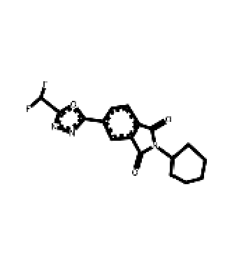 O=C1c2ccc(-c3nnc(C(F)F)o3)cc2C(=O)N1C1CCCCC1